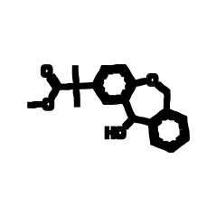 COC(=O)C(C)(C)c1ccc2c(c1)C(O)c1ccccc1CO2